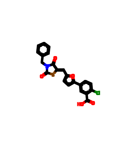 O=C(O)c1cc(-c2ccc(/C=C3\SC(=O)N(Cc4ccccc4)C3=O)o2)ccc1Cl